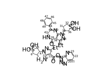 CCc1nn(C2CCS(O)(O)C2)c(N)c1C(=O)On1nnc2cccnc21.CCc1nn(C2CCS(O)(O)C2)c2c1C(=O)NCC(c1ccccc1)=N2